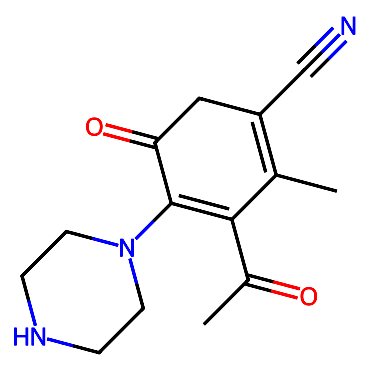 CC(=O)C1=C(N2CCNCC2)C(=O)CC(C#N)=C1C